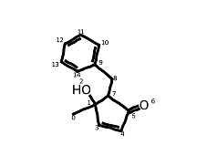 CC1(O)C=CC(=O)C1Cc1ccccc1